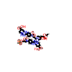 CCOC(=O)CC1(O)CCN(CC2CN(c3ccc(C(=N)NC4CC(C(=O)O)CCN4C)cc3)C(=O)O2)CC1.CN1CCC(C(=O)O)CC1NC(=N)c1ccc(N2CC(COS(C)(=O)=O)OC2=O)cc1